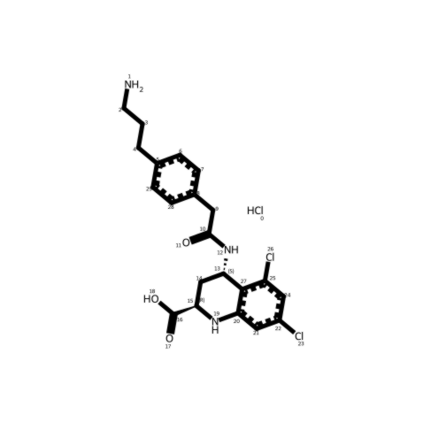 Cl.NCCCc1ccc(CC(=O)N[C@H]2C[C@H](C(=O)O)Nc3cc(Cl)cc(Cl)c32)cc1